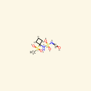 CS(=O)(=O)C1(NS(=O)(=O)N=C=O)CCC1